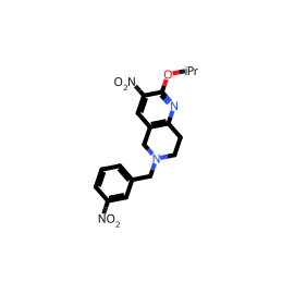 CC(C)Oc1nc2c(cc1[N+](=O)[O-])CN(Cc1cccc([N+](=O)[O-])c1)CC2